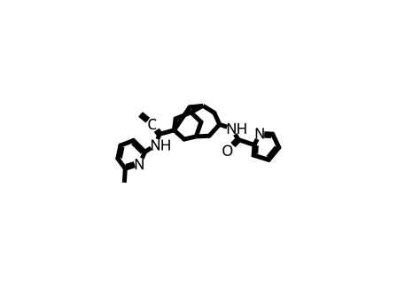 C=C=C(Nc1cccc(C)n1)C12CC3CC(NC(=O)c4ccccn4)CC(C1)C(C3)C2